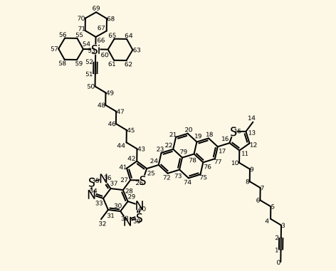 CC#CCCCCCCCCc1cc(C)sc1-c1cc2ccc3cc(-c4sc(-c5c6c(c(C)c7nsnc57)N=S=N6)cc4CCCCCCCCC#C[Si](C4CCCCC4)(C4CCCCC4)C4CCCCC4)cc4ccc(c1)c2c34